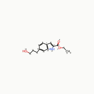 CCOC(=O)c1cc2ccc(CCCO)cc2[nH]1